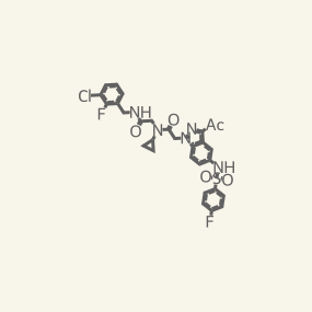 CC(=O)c1nn(CC(=O)N(CC(=O)NCc2cccc(Cl)c2F)C2CC2)c2ccc(NS(=O)(=O)c3ccc(F)cc3)cc12